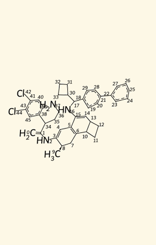 C=C(NC1=CC2=C(C[C@H]1C)C1CCC1C=C2NC(c1ccc(-c2ccccc2)cc1)C1CCC1)C(CCN)c1ccc(Cl)c(Cl)c1